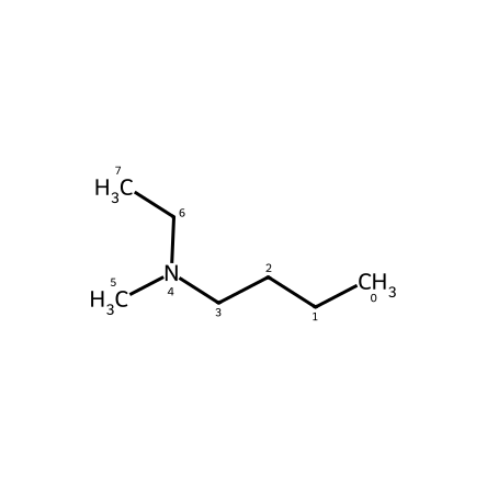 CCCCN(C)CC